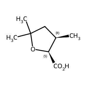 C[C@@H]1CC(C)(C)O[C@@H]1C(=O)O